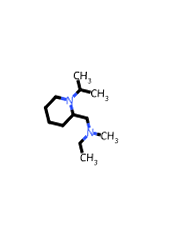 CCN(C)CC1CCCCN1C(C)C